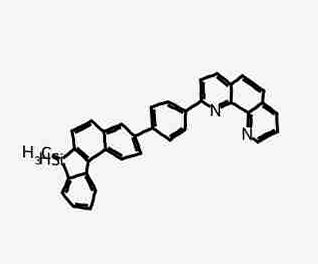 C[SiH]1c2ccccc2-c2c1ccc1cc(-c3ccc(-c4ccc5ccc6cccnc6c5n4)cc3)ccc21